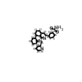 NS(=O)(=O)c1cccc(-c2cc3cccc(-c4ccccc4)c3c(NCc3ccccn3)n2)c1